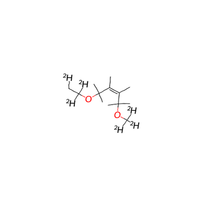 [2H]CC([2H])([2H])OC(C)(C)/C(C)=C(/C)C(C)(C)OC([2H])([2H])[2H]